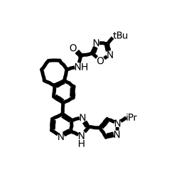 CC(C)n1cc(-c2nc3c(-c4ccc5c(c4)CCCCC5NC(=O)c4nc(C(C)(C)C)no4)ccnc3[nH]2)cn1